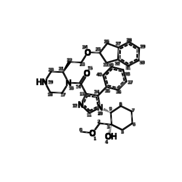 COC[C@]1(O)CCCC[C@H]1n1cnc(C(=O)N2CCNC[C@H]2CCOC2Cc3ccccc3C2)c1-c1ccccc1